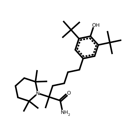 CC(C)(C)c1cc(CCCCC(C)(C(N)=O)N2C(C)(C)CCCC2(C)C)cc(C(C)(C)C)c1O